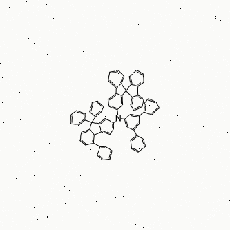 c1ccc(-c2cc(-c3ccccc3)cc(N(c3ccc4c(c3)C(c3ccccc3)(c3ccccc3)c3cccc(-c5ccccc5)c3-4)c3ccc4c(c3)C3(c5ccccc5-c5ccccc53)c3ccccc3-4)c2)cc1